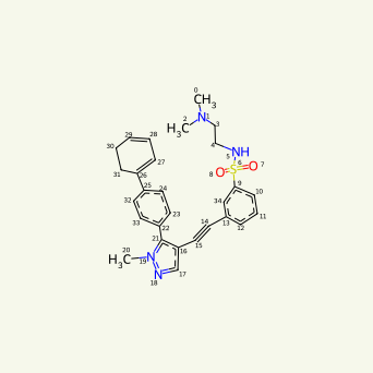 CN(C)CCNS(=O)(=O)c1cccc(C#Cc2cnn(C)c2-c2ccc(C3=CC=CCC3)cc2)c1